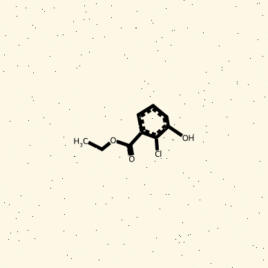 CCOC(=O)c1cccc(O)c1Cl